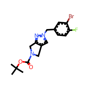 CC(C)(C)OC(=O)N1Cc2cn(Cc3ccc(F)c(Br)c3)nc2C1